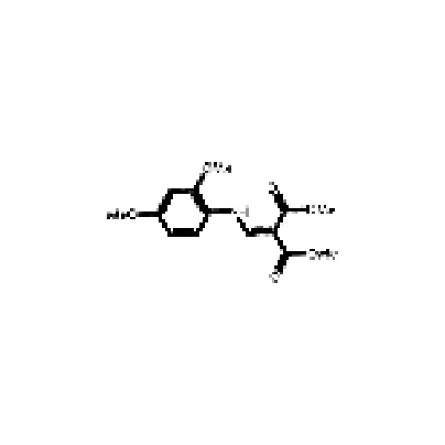 COC(=O)C(=CNc1ccc(OC)cc1OC)C(=O)OC